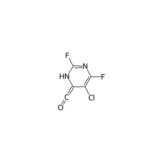 O=C=C1NC(F)=NC(F)=C1Cl